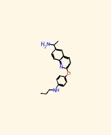 CCCNc1ccc(Oc2ccc3cc(C(C)N)ccc3n2)cc1